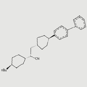 CCCC[C@H]1CC[C@H](C(C#N)C[C@H]2CC[C@H](c3ccc(-c4ccccc4)cc3)CC2)CC1